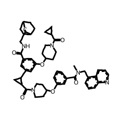 CN(Cc1cccc2ncccc12)C(=O)c1cccc(OC2CCN(C(=O)C3CC3c3cc(OC4CCN(C(=O)C5CC5)CC4)cc(C(=O)NCC4CC5CCC4CC5)c3)CC2)c1